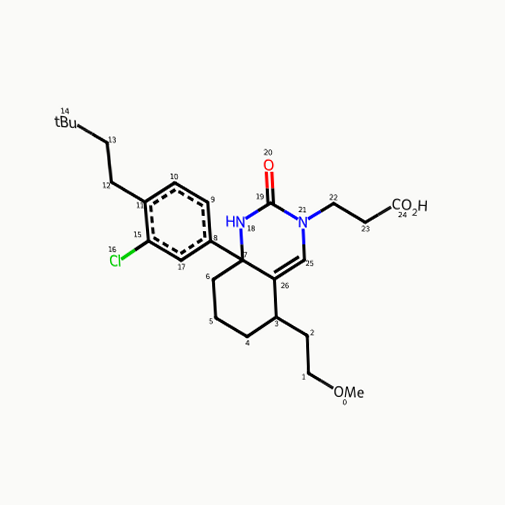 COCCC1CCCC2(c3ccc(CCC(C)(C)C)c(Cl)c3)NC(=O)N(CCC(=O)O)C=C12